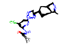 C[CH]C(=O)Nc1cc(Cl)cc(-n2ncc(-c3ccc4c(C)nccc4c3)n2)n1